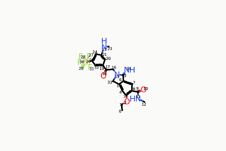 CCOc1cc2c(cc1C(=O)NC)C(=N)N(CC(=O)c1cc(NC)cc(S(F)(F)(F)(F)F)c1)C2